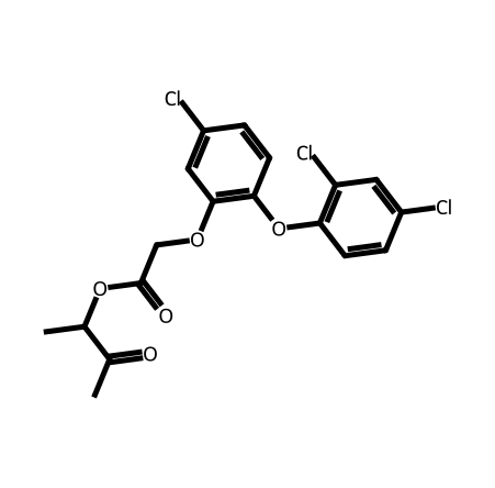 CC(=O)C(C)OC(=O)COc1cc(Cl)ccc1Oc1ccc(Cl)cc1Cl